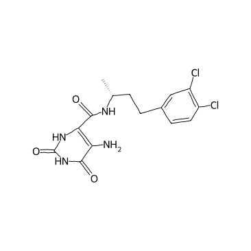 C[C@H](CCc1ccc(Cl)c(Cl)c1)NC(=O)c1[nH]c(=O)[nH]c(=O)c1N